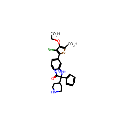 NC(=O)C(Nc1cccc(-c2sc(C(=O)O)c(OCC(=O)O)c2Br)c1)(c1ccccc1)C1CCNCC1